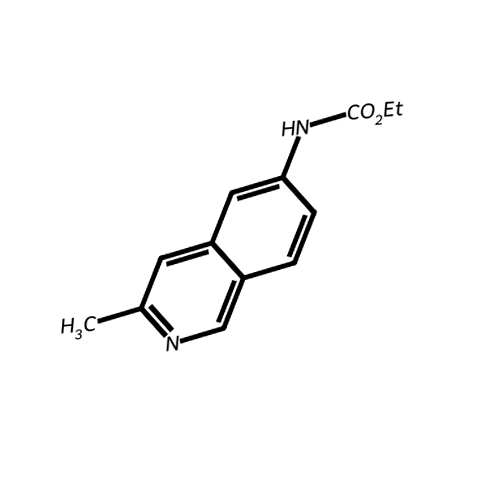 CCOC(=O)Nc1ccc2cnc(C)cc2c1